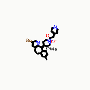 COc1cc(C)cc2c1C(=C1CC[N+]([O-])(C(=O)Cc3ccncc3)CC1)c1ncc(Br)cc1CC2